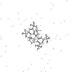 C[Si](C)(C)OC(c1cc(C(F)(F)F)cc(C(F)(F)F)c1)(c1cc(C(F)(F)F)cc(C(F)(F)F)c1)[C@H]1CCCN1